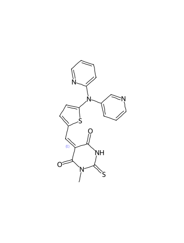 CN1C(=O)/C(=C/c2ccc(N(c3cccnc3)c3ccccn3)s2)C(=O)NC1=S